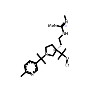 CCOC(C)(C)[C@]1(CCN/C(=N/C)NC)CCN(C(C)(C)c2ccc(C)nc2)C1